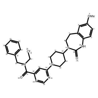 COc1ccc2c(c1)CCN(C1CCN(c3cc(C(=O)N(Cc4ccccc4)CC(F)(F)F)ncn3)CC1)C(=O)N2